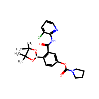 CC1(C)OB(c2ccc(OC(=O)N3CCCC3)cc2C(=O)Nc2ncccc2Cl)OC1(C)C